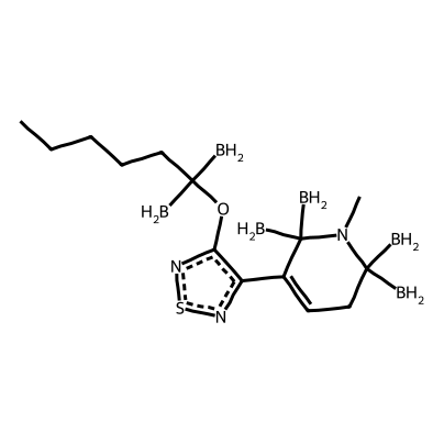 BC(B)(CCCCC)Oc1nsnc1C1=CCC(B)(B)N(C)C1(B)B